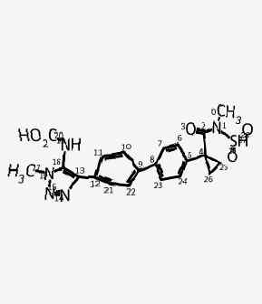 CN(C(=O)C1(c2ccc(-c3ccc(-c4nnn(C)c4NC(=O)O)cc3)cc2)CC1)[SH](=O)=O